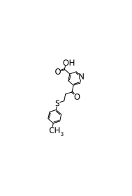 Cc1ccc(SCCC(=O)c2cncc(C(=O)O)c2)cc1